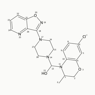 CC1COc2cc(Cl)ccc2N1C(O)N1CCN(c2noc3cccnc23)CC1